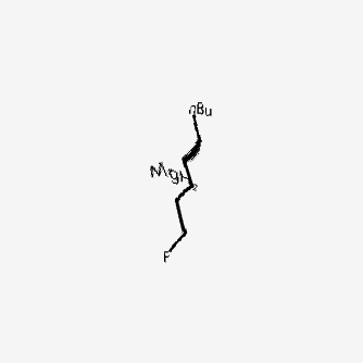 CCCCCCCCCF.[MgH2]